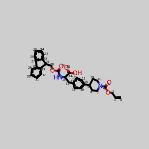 C=CCOC(=O)N1CCC(c2ccc(CC(NC(=O)OCC3c4ccccc4-c4ccccc43)C(=O)O)cc2)CC1